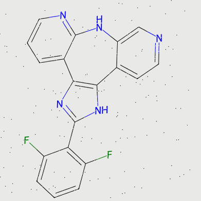 Fc1cccc(F)c1-c1nc2c([nH]1)-c1ccncc1Nc1ncccc1-2